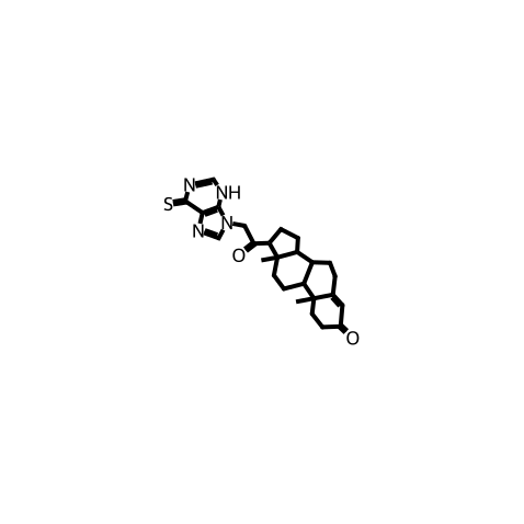 CC12CCC(=O)C=C1CCC1C2CCC2(C)C(C(=O)Cn3cnc4c(=S)nc[nH]c43)CCC12